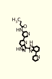 CCCC(=O)Nc1cncc(-c2ccc3[nH]nc(-c4nc5c(-c6ccccn6)cccc5[nH]4)c3n2)c1